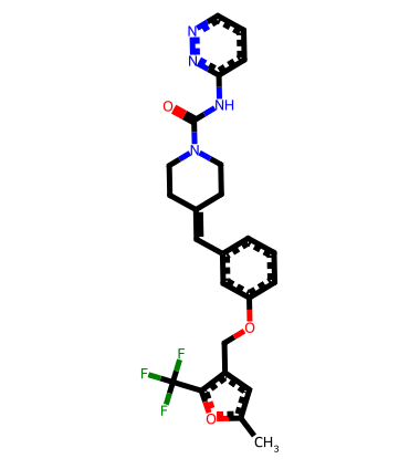 Cc1cc(COc2cccc(C=C3CCN(C(=O)Nc4cccnn4)CC3)c2)c(C(F)(F)F)o1